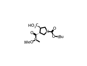 CON(C)C(=O)[C@H]1CN(C(=O)OC(C)(C)C)C[C@@H]1C(=O)O